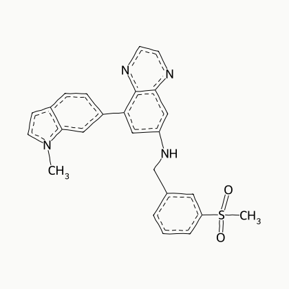 Cn1ccc2ccc(-c3cc(NCc4cccc(S(C)(=O)=O)c4)cc4nccnc34)cc21